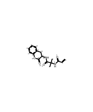 C=CC(=O)NC(C)(C)C(=O)NC1Cc2ccccc2OC1=O